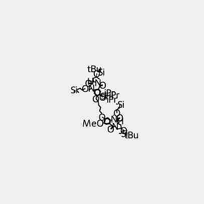 COc1cc2c(cc1OCCCCCOc1cc3c(cc1O[Si](C(C)C)(C(C)C)C(C)C)C(=O)N1C[C@H](O[Si](C)(C)C(C)(C)C)C[C@H]1C(=O)N3COCC[Si](C)(C)C)N(COCC[Si](C)(C)C)C(=O)[C@@H]1C[C@@H](O[Si](C)(C)C(C)(C)C)CN1C2=O